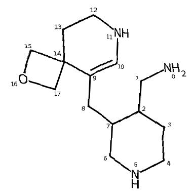 NCC1CCNCC1CC1=CNCCC12COC2